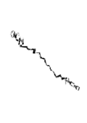 O=C=NC=CCCCCCCCCCCCCCCN=C=O